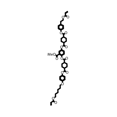 C=CC(=O)OCCCCCCOc1ccc(OC(=O)C2CCC(C(=O)Oc3ccc(OC(=O)C4CCC(C(=O)Oc5ccc(CCOC(=O)C=C)cc5)CC4)cc3C(=O)OC)CC2)cc1